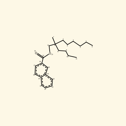 CCCCCCC(C)(CCCC)COC(=O)c1ccc2ccccc2c1